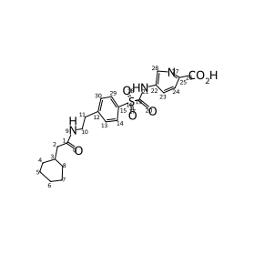 O=C(CC1CCCCC1)NCCc1ccc(S(=O)(=O)C(=O)Nc2ccc(C(=O)O)nc2)cc1